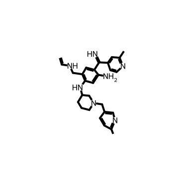 C=CNCc1cc(C(=N)c2ccnc(C)c2)c(N)cc1NC1CCCN(Cc2ccc(C)nc2)C1